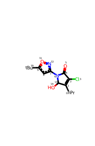 CCCC1=C(Cl)C(=O)N(c2cc(C(C)(C)C)on2)C1O